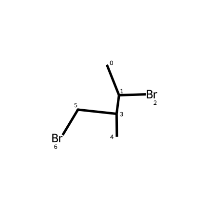 CC(Br)C(C)CBr